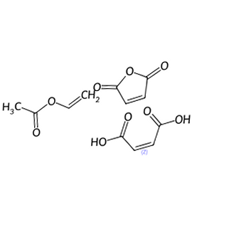 C=COC(C)=O.O=C(O)/C=C\C(=O)O.O=C1C=CC(=O)O1